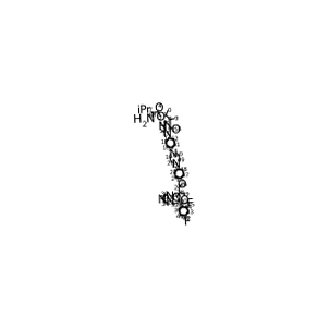 CC(OC(=O)[C@@H](N)C(C)C)C(C)n1ncn(-c2ccc(N3CCN(c4ccc(OCC5COC(Cn6cncn6)(c6ccc(F)cc6F)O5)cc4)CC3)cc2)c1=O